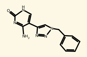 Nc1nc(=O)[nH]cc1-c1cn(Cc2ccccc2)nn1